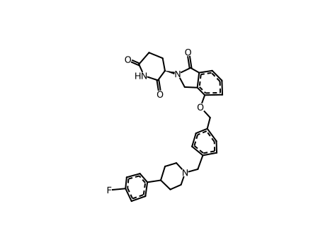 O=C1CC[C@@H](N2Cc3c(OCc4ccc(CN5CCC(c6ccc(F)cc6)CC5)cc4)cccc3C2=O)C(=O)N1